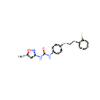 CC(C)(C)c1cc(NC(=O)Nc2ccc(OCCc3ccccc3F)cc2)no1